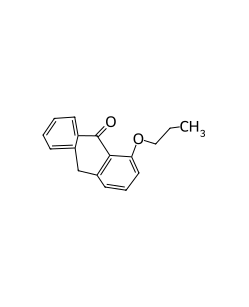 CCCOc1cccc2c1C(=O)c1ccccc1C2